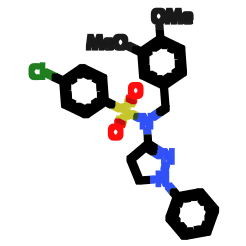 COc1ccc(CN(C2=NN(c3ccccc3)CC2)S(=O)(=O)c2ccc(Cl)cc2)cc1OC